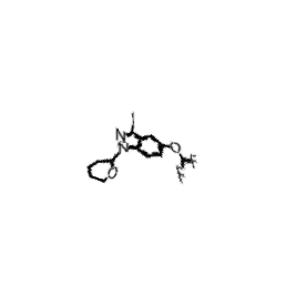 FC(F)Oc1ccc2c(c1)c(I)nn2C1CCCCO1